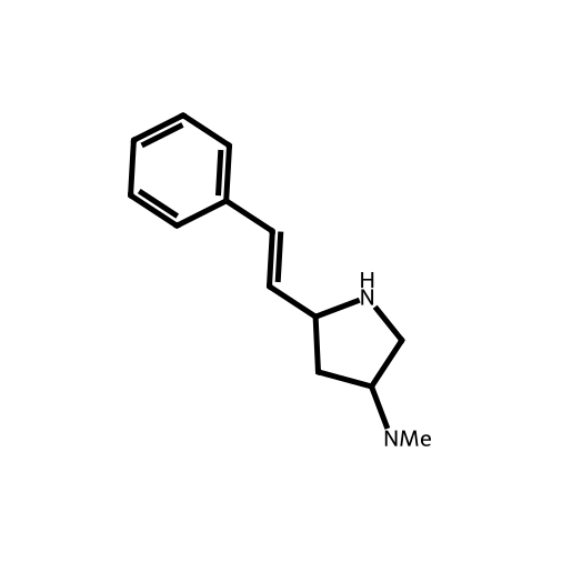 CNC1CNC(C=Cc2ccccc2)C1